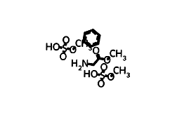 COC(=O)CN.COS(=O)(=O)O.COS(=O)(=O)O.c1ccccc1